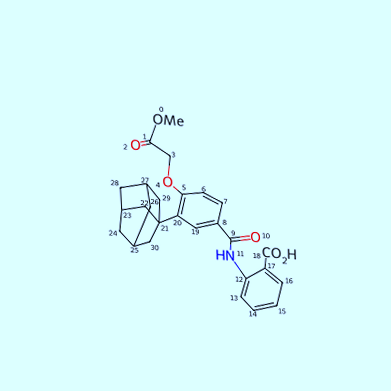 COC(=O)COc1ccc(C(=O)Nc2ccccc2C(=O)O)cc1C12CC3CC(CC(C3)C1)C2